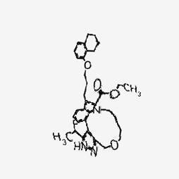 CCOC(=O)c1c(CCCOc2cccc3c2CCCC3)c2ccc(F)c3c2n1CCCCOCc1n[nH]c(CC)c1-3